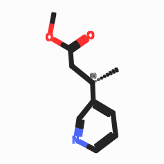 COC(=O)C[C@H](C)c1cccnc1